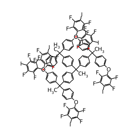 CC(c1ccc(Oc2c(F)c(F)c(I)c(F)c2F)cc1)(c1ccc(Oc2c(F)c(F)c(I)c(F)c2F)cc1)c1ccc(C(C)(c2ccc(C(C)(c3ccc(Oc4c(F)c(F)c(I)c(F)c4F)cc3)c3ccc(Oc4c(F)c(F)c(I)c(F)c4F)cc3)cc2)c2ccc(C(C)(c3ccc(Oc4c(F)c(F)c(I)c(F)c4F)cc3)c3ccc(Oc4c(F)c(F)c(I)c(F)c4F)cc3)cc2)cc1